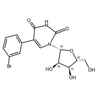 O=c1[nH]c(=O)n([C@@H]2O[C@H](CO)[C@@H](O)[C@H]2O)cc1-c1cccc(Br)c1